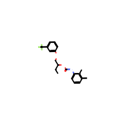 CCC(COc1cccc(C(F)(F)F)c1)OC(=O)Nc1cccc(C)c1C